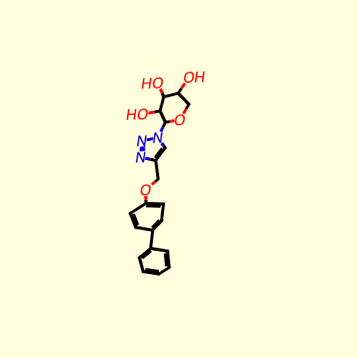 OC1COC(n2cc(COc3ccc(-c4ccccc4)cc3)nn2)C(O)C1O